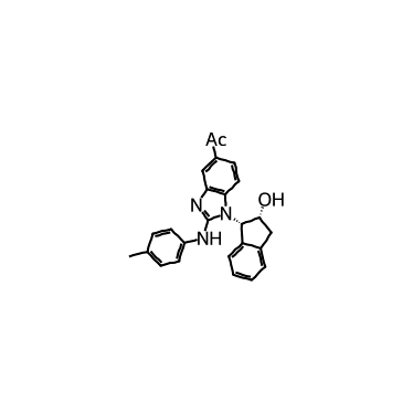 CC(=O)c1ccc2c(c1)nc(Nc1ccc(C)cc1)n2[C@H]1c2ccccc2C[C@H]1O